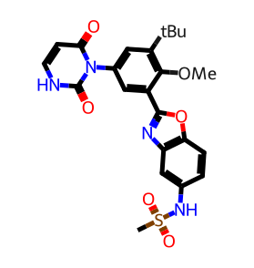 COc1c(-c2nc3cc(NS(C)(=O)=O)ccc3o2)cc(-n2c(=O)cc[nH]c2=O)cc1C(C)(C)C